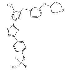 Cc1nc(-c2nc(-c3ccc(OC(C)(F)F)cc3)no2)nn1Cc1cccc(OC2CCOCC2)c1